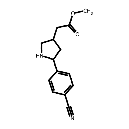 COC(=O)CC1CNC(c2ccc(C#N)cc2)C1